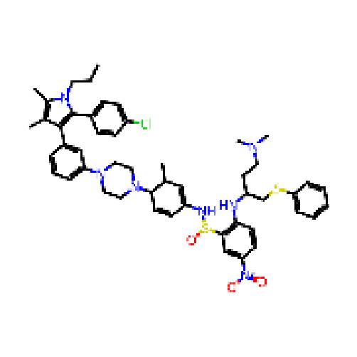 CCCn1c(C)c(C)c(-c2cccc(N3CCN(C4C=CC(N[S+]([O-])c5cc([N+](=O)[O-])ccc5NC(CCN(C)C)CSc5ccccc5)=CC4C)CC3)c2)c1-c1ccc(Cl)cc1